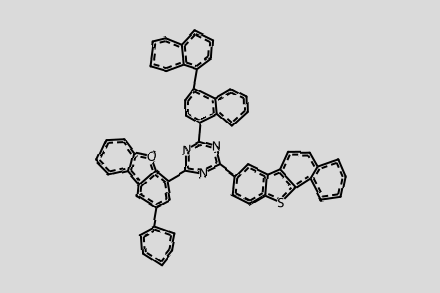 c1ccc(-c2cc(-c3nc(-c4ccc5sc6c7ccccc7ccc6c5c4)nc(-c4ccc(-c5cccc6ccccc56)c5ccccc45)n3)c3oc4ccccc4c3c2)cc1